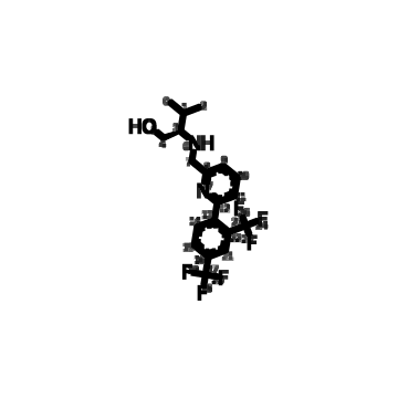 CC(C)[C@H](CO)NCc1cccc(-c2ccc(C(F)(F)F)cc2C(F)(F)F)n1